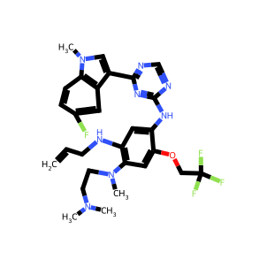 C=CCNc1cc(Nc2ncnc(-c3cn(C)c4ccc(F)cc34)n2)c(OCC(F)(F)F)cc1N(C)CCN(C)C